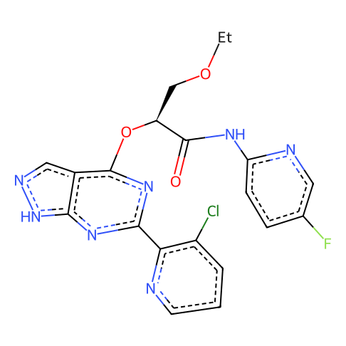 CCOC[C@H](Oc1nc(-c2ncccc2Cl)nc2[nH]ncc12)C(=O)Nc1ccc(F)cn1